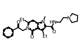 CCc1c(C(=O)NCCN2CCCC2)n(C)c2cc(CC)n(CC(=O)c3ccccc3)c(=O)c12